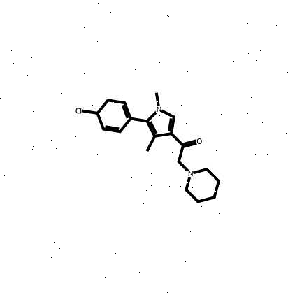 Cc1c(C(=O)CN2CCCCC2)cn(C)c1C1=CCC(Cl)C=C1